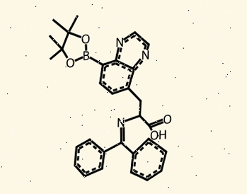 CC1(C)OB(c2ccc(CC(N=C(c3ccccc3)c3ccccc3)C(=O)O)c3nccnc23)OC1(C)C